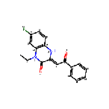 CCN1C(=O)/C(=C/C(=O)c2ccccc2)Nc2ccc(F)cc21